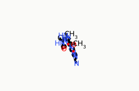 CCc1nc2c(NC)ncc(-c3ccc(N4CCC(N5CCN(CCC#N)CC5)CC4)c(OC)c3)c2nc1NC1CCOCC1